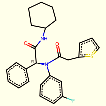 O=C(NC1CCCCC1)[C@H](c1ccccc1)N(C(=O)Cc1cccs1)c1cccc(F)c1